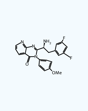 COc1ccc(-n2c([C@@H](N)Cc3cc(F)cc(F)c3)nc3ncccc3c2=O)cc1